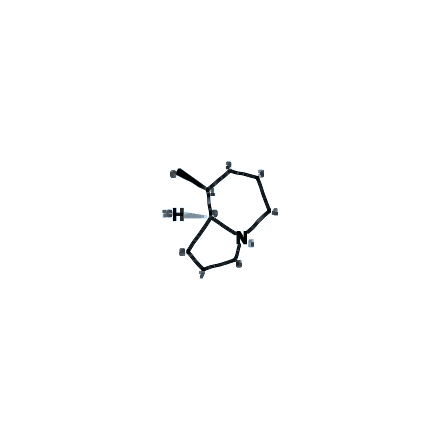 C[C@H]1CCCN2CCC[C@@H]12